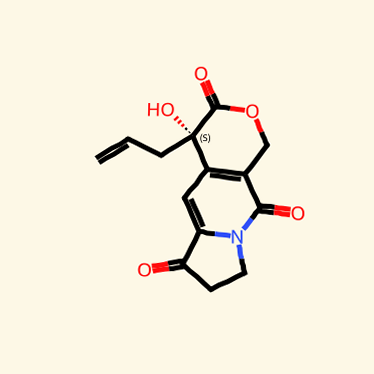 C=CC[C@@]1(O)C(=O)OCc2c1cc1n(c2=O)CCC1=O